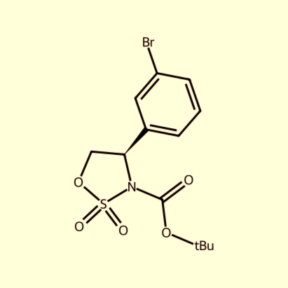 CC(C)(C)OC(=O)N1[C@H](c2cccc(Br)c2)COS1(=O)=O